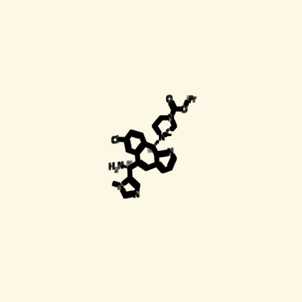 CC(C)OC(=O)N1CCN([C@H]2c3ccc(Cl)cc3C([C@@H](N)c3cncn3C)=Cc3cccnc32)CC1